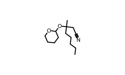 CCCCCC(C)(CC#N)OC1CCCCO1